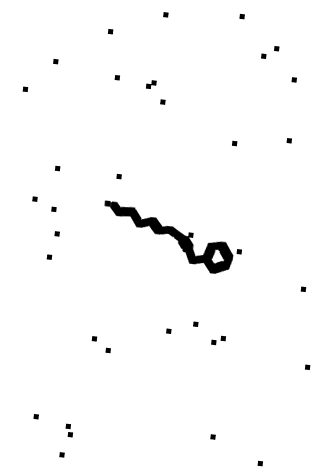 [CH2]C=CCC=CCC#CCc1ccccc1